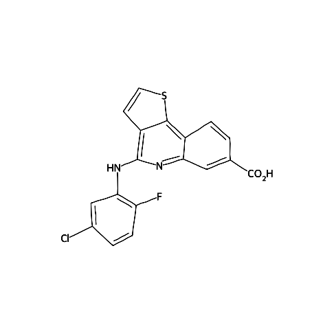 O=C(O)c1ccc2c(c1)nc(Nc1cc(Cl)ccc1F)c1ccsc12